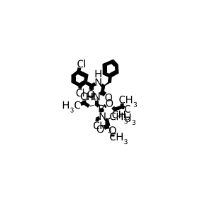 CCN(B(O[C@@H](C)C(C)C)[C@H](CC(C)C)NC(=O)[C@H](Cc1ccccc1)NC(=O)c1cc(Cl)ccc1Cl)[C@H](C)C(=O)OC